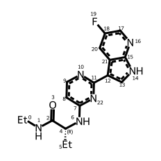 CCNC(=O)[C@@H](CC)Nc1ccnc(-c2c[nH]c3ncc(F)cc23)n1